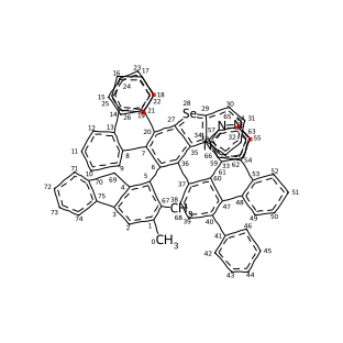 Cc1cc2c(c(-c3c(-c4ccccc4-c4ccccc4)c(-c4ccccc4)c4[se]c5ccccc5c4c3-c3ccc(-c4ccccc4)c(-c4ccccc4-c4ccccc4)c3-c3ccnnn3)c1C)Cc1ccccc1-2